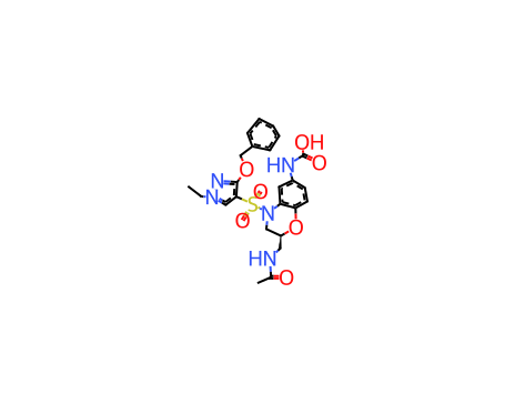 CCn1cc(S(=O)(=O)N2C[C@H](CNC(C)=O)Oc3ccc(NC(=O)O)cc32)c(OCc2ccccc2)n1